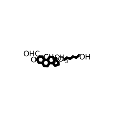 CC12CC(C=O)C(=O)CC1CCC1C2CCC2(C)C(OCCCCCCO)CCC12